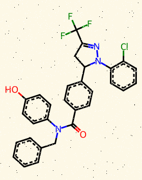 O=C(c1ccc(C2CC(C(F)(F)F)=NN2c2ccccc2Cl)cc1)N(Cc1ccccc1)c1ccc(O)cc1